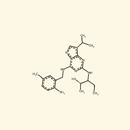 CCC(Nc1nc(NCc2cc(C)ccc2N)c2ncn(C(C)C)c2n1)C(C)O